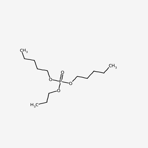 CCCCCOP(=O)(OCCC)OCCCCC